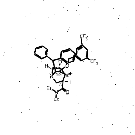 CCN(CC)C(=O)[C@@H]1CN2CC[C@H]1[C@H](OCc1cc(C(F)(F)F)cc(C(F)(F)F)c1)[C@@H]2C(c1ccccc1)c1ccccc1